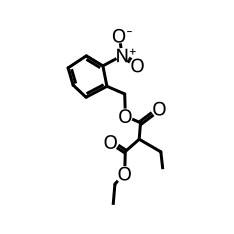 CCOC(=O)C(CC)C(=O)OCc1ccccc1[N+](=O)[O-]